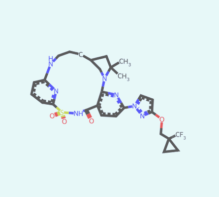 CC1(C)CC2CCCNc3cccc(n3)S(=O)(=O)NC(=O)c3ccc(-n4ccc(OCC5(C(F)(F)F)CC5)n4)nc3N1C2